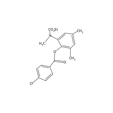 CCOC(=O)N(C)c1cc(C)cc(C)c1OC(=O)c1ccc(Cl)cc1